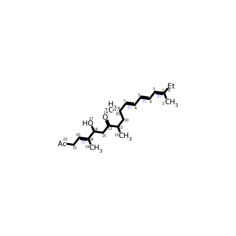 CC/C(C)=C/C=C/C=C/[C@@H](C)CC(C)C(=O)CC(O)/C(C)=C/CC(C)=O